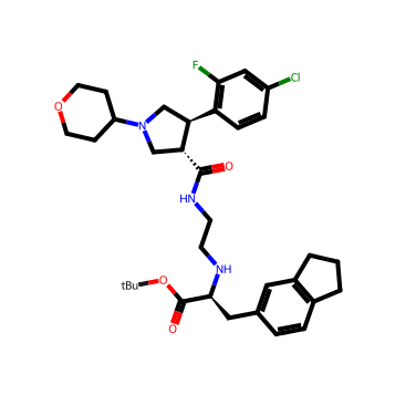 CC(C)(C)OC(=O)[C@H](Cc1ccc2c(c1)CCC2)NCCNC(=O)[C@@H]1CN(C2CCOCC2)C[C@H]1c1ccc(Cl)cc1F